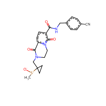 C[S+]([O-])C1(CN2CCn3c(ccc(C(=O)NCc4ccc(C#N)cc4)c3=O)C2=O)CC1